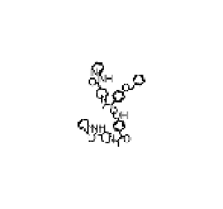 CC(C(=O)c1ccc(O)cc1)N1CCC(C(=O)Nc2ccccn2)CC1.CC(C(=O)c1ccc(OCc2ccccc2)cc1)N1CCC(C(=O)Nc2ccccn2)CC1